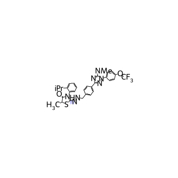 CNc1nc(-c2ccc(CN/N=C3/SC(C)C(=O)N3c3ccccc3C(C)C)cc2)nn1-c1ccc(OC(F)(F)F)cc1